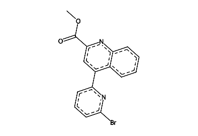 COC(=O)c1cc(-c2cccc(Br)n2)c2ccccc2n1